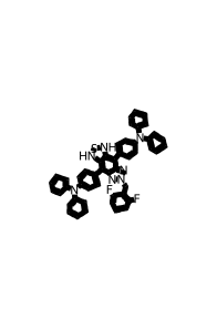 Fc1cccc(F)c1Cn1nc2c(-c3ccc(N(c4ccccc4)c4ccccc4)cc3)c3c(c(-c4ccc(N(c5ccccc5)c5ccccc5)cc4)c2n1)NSN3